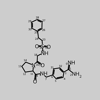 N=C(N)c1ccc(CNC(=O)C2CCCN2C(=O)CNS(=O)(=O)CCc2ccccc2)cc1